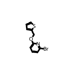 Brc1cccc(OCc2cccs2)n1